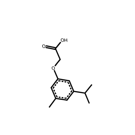 Cc1cc(OCC(=O)O)cc(C(C)C)c1